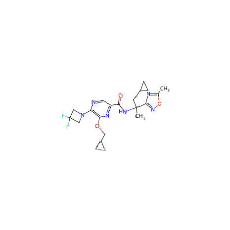 Cc1nc(C(C)(CC2CC2)NC(=O)c2cnc(N3CC(F)(F)C3)c(OCC3CC3)n2)no1